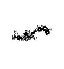 Cc1ncsc1-c1ccc([C@H](C)NC(=O)[C@@H]2C[C@@H](O)CN2C(=O)C(NC(=O)CCCCOc2ccc(-c3cc(-c4ccccc4O)nnc3N)cc2)C(C)(C)C)cc1